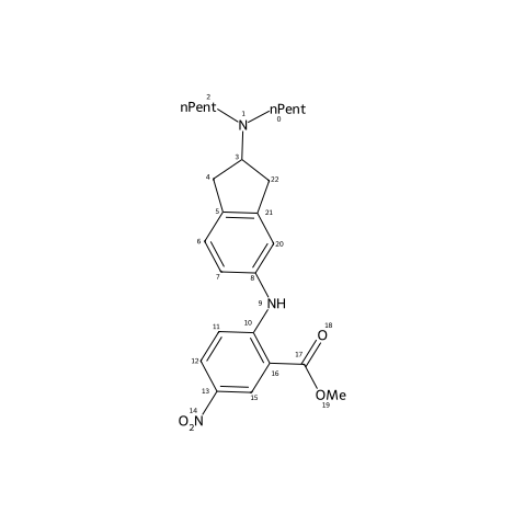 CCCCCN(CCCCC)C1Cc2ccc(Nc3ccc([N+](=O)[O-])cc3C(=O)OC)cc2C1